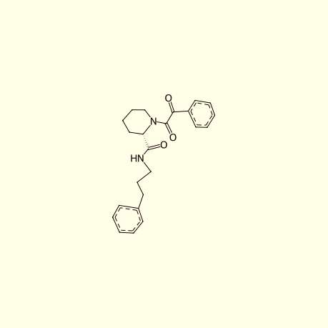 O=C(C(=O)N1CCCC[C@H]1C(=O)NCCCc1ccccc1)c1ccccc1